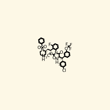 COC(=O)N(C(=O)[C@@H](N)[C@@H](c1ccc(Cl)cc1)c1cccc(OC(F)(F)F)c1)c1cccc(F)c1CC[C@H]1CNCCN1S(=O)(=O)c1ccccc1